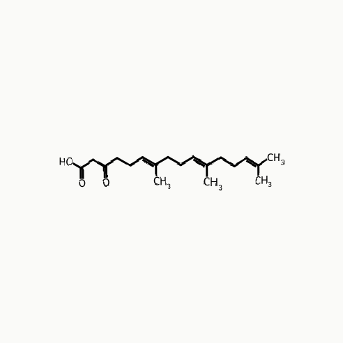 CC(C)=CCC/C(C)=C/CC/C(C)=C/CCC(=O)CC(=O)O